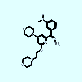 CN(C)c1cccc(C(=NN)c2cc(N3CCOCC3)cc(OCCN3CCOCC3)n2)c1